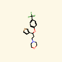 FC(F)(F)c1ccc(OC(CCN2CCOCC2)c2ccsc2)cc1